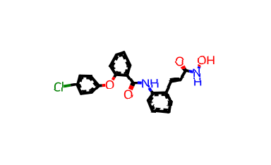 O=C(C=Cc1ccccc1NC(=O)c1ccccc1Oc1ccc(Cl)cc1)NO